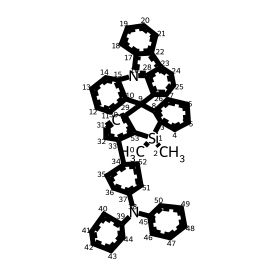 C[Si]1(C)c2ccccc2C2(c3ccccc3-n3c4ccccc4c4cccc2c43)c2cccc(-c3ccc(N(c4ccccc4)c4ccccc4)cc3)c21